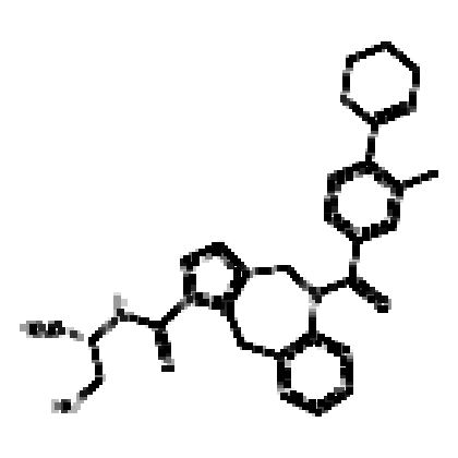 Cc1cc(C(=O)N2Cc3ccc(C(=O)N[C@H](CO)C(=O)O)n3Cc3ccccc32)ccc1C1=CCCCC1